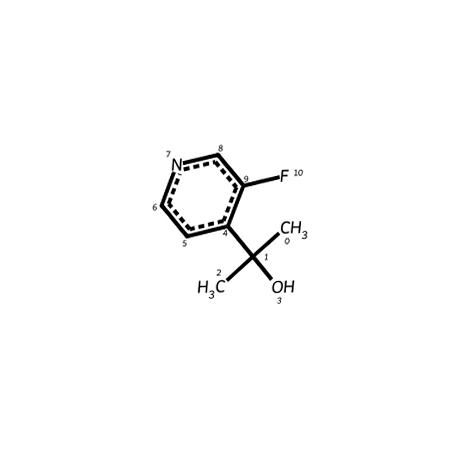 CC(C)(O)c1ccncc1F